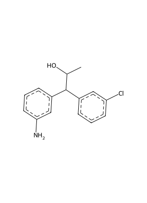 CC(O)C(c1cccc(N)c1)c1cccc(Cl)c1